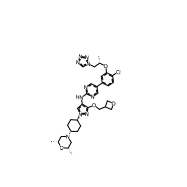 C[C@@H]1CN([C@H]2CC[C@H](n3cc(Nc4ncc(-c5ccc(Cl)c(O[C@@H](C)Cn6cnnn6)c5)cn4)c(OCC4COC4)n3)CC2)C[C@H](C)O1